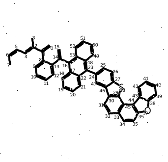 C=C(/C(C)=C/C=C\C)c1ccccc1C(=C)c1c2ccccc2c(-c2ccc3sc4c(ccc5ccc6oc7ccccc7c6c54)c3c2)c2ccccc12